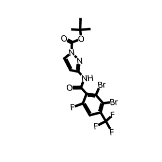 CC(C)(C)OC(=O)n1ccc(NC(=O)c2c(F)cc(C(F)(F)F)c(Br)c2Br)n1